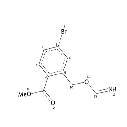 COC(=O)c1ccc(Br)cc1COC=N